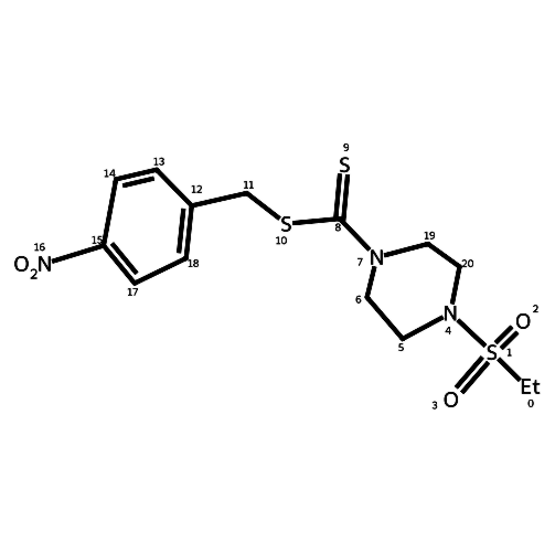 CCS(=O)(=O)N1CCN(C(=S)SCc2ccc([N+](=O)[O-])cc2)CC1